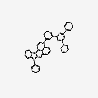 C1=CCC(c2cc(C3=CCCC=C3)nc(C3=CCCC(N4C=Cc5c6c4cccc6cc4c5c5ccccc5n4-c4ccccc4)=C3)n2)C=C1